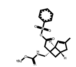 CC1=C[C@H]2[C@H](C1)C[C@@]2(CNC(=O)OC(C)(C)C)CC(=O)OS(=O)(=O)c1ccccc1